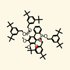 COc1c(OC)c(OC)c(P(OCc2cc(C(C)(C)C)cc(C(C)(C)C)c2)OCc2cc(C(C)(C)C)cc(C(C)(C)C)c2)c(-c2ccccc2P(OCc2cc(C(C)(C)C)cc(C(C)(C)C)c2)OCc2cc(C(C)(C)C)cc(C(C)(C)C)c2)c1OC